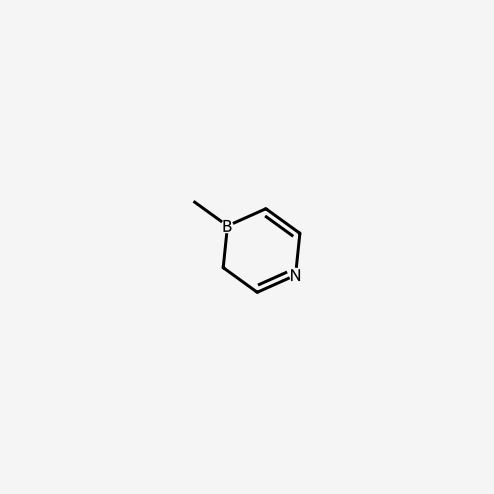 CB1C=CN=CC1